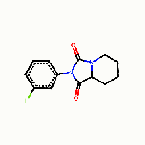 O=C1C2CCCCN2C(=O)N1c1cccc(F)c1